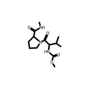 CNC(=O)C1CCCN1C(=O)C(NC(=O)OC)C(C)C